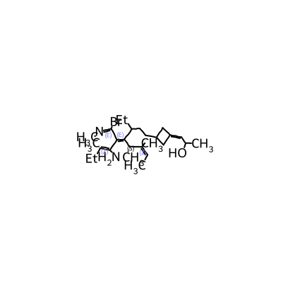 C/C=C(/C)[C@H](C)/C(=C(C(\N)=C(/C)CC)/C(Br)=N\C)C(CC)CCC1CC(=CC(C)O)C1